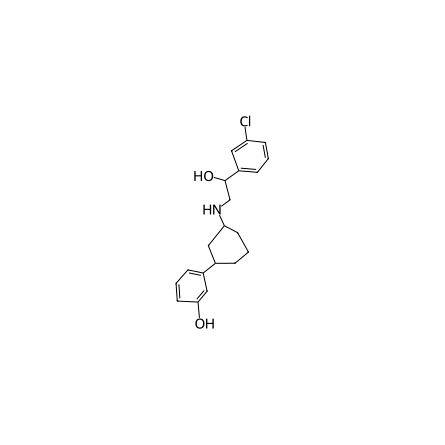 Oc1cccc(C2CCCC(NCC(O)c3cccc(Cl)c3)C2)c1